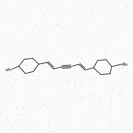 CCCCC1CCC(C=CC#CC=CC2CCC(CCC)CC2)CC1